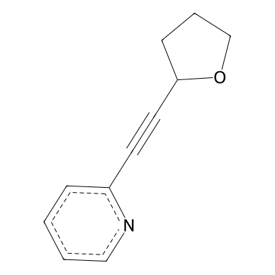 C(#CC1CCCO1)c1ccccn1